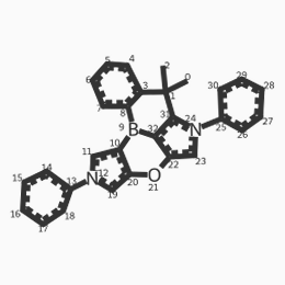 CC1(C)c2ccccc2B2c3cn(-c4ccccc4)cc3Oc3cn(-c4ccccc4)c1c32